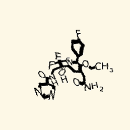 CCOc1c(CC(N)=O)cc([C@@](O)(CNC(=O)c2cncnc2)C(F)(F)F)nc1-c1ccc(F)cc1